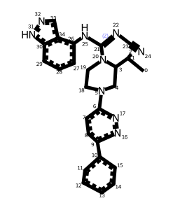 CC(C)C1CN(c2ccc(-c3ccccc3)nn2)CCN1/C(=N\C#N)Nc1cccc2[nH]ncc12